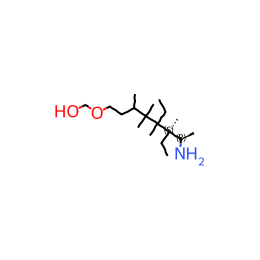 CCC(C)(C(C)(C)C(C)CCOCO)[C@](C)(CC)[C@@H](C)N